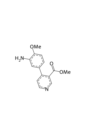 COC(=O)c1cnccc1-c1ccc(OC)c(N)c1